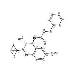 CCC[C@H]1[C@H](C23CC2C3)Nc2ccc(OC)nc2[C@@H]1NC(=O)OCc1ccccc1